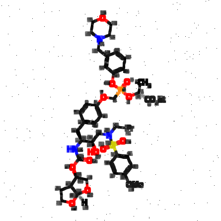 CCOC(=O)[C@@H](C)OP(=O)(COc1ccc(C[C@H](NC(=O)O[C@H]2CO[C@H]3OCCC32)[C@H](O)CN(CC(C)C)S(=O)(=O)c2ccc(OC)cc2)cc1)Oc1cccc(CN2CCOCC2)c1